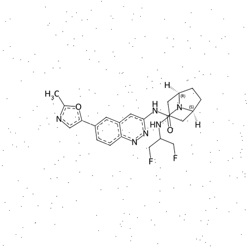 Cc1ncc(-c2ccc3nnc(NC(=O)N4[C@@H]5CC[C@H]4CC(NC(CF)CF)C5)cc3c2)o1